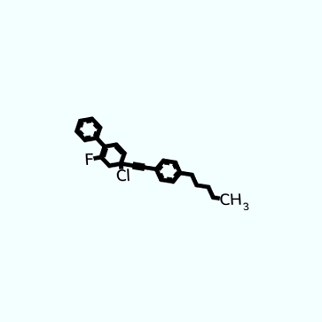 CCCCCc1ccc(C#CC2(Cl)C=CC(c3ccccc3)=C(F)C2)cc1